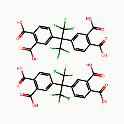 O=C(O)c1ccc(C(c2ccc(C(=O)O)c(C(=O)O)c2)(C(F)(F)F)C(F)(F)F)cc1C(=O)O.O=C(O)c1ccc(C(c2ccc(C(=O)O)c(C(=O)O)c2)(C(F)(F)F)C(F)(F)F)cc1C(=O)O